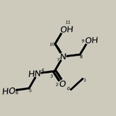 CC.O=C(NCO)N(CO)CO